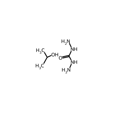 CC(C)O.NNC(=O)NN